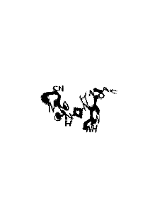 CC(=O)c1cnc(-c2cnc3[nH]ccc3c2N[C@H]2C[C@@H](NS(=O)(=O)c3cc(C#N)ccn3)C2)o1